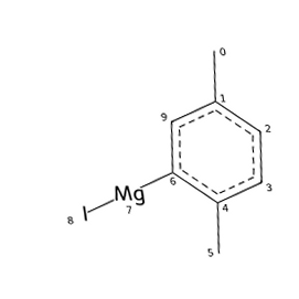 Cc1ccc(C)[c]([Mg][I])c1